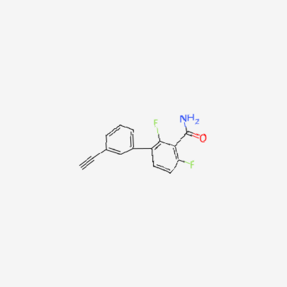 C#Cc1cccc(-c2ccc(F)c(C(N)=O)c2F)c1